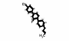 C/C=C/Cc1ccc(-c2ccc(-c3ccc(CC)cc3)cc2F)cc1